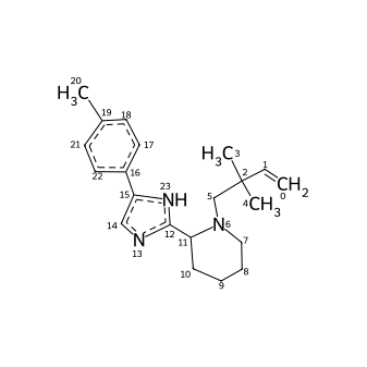 C=CC(C)(C)CN1CCCCC1c1ncc(-c2ccc(C)cc2)[nH]1